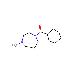 O=C(O)N1CCCN(C(=O)C2CCCCC2)CC1